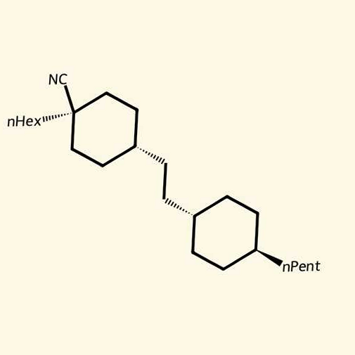 CCCCCC[C@]1(C#N)CC[C@H](CC[C@H]2CC[C@H](CCCCC)CC2)CC1